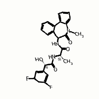 C[C@H](NC(=O)[C@@H](O)C1=CC(F)CC(F)=C1)C(=O)NC1C(=O)N(C)c2ccccc2-c2ccccc21